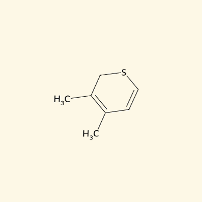 CC1=C(C)CSC=C1